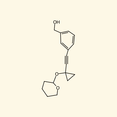 OCc1cccc(C#CC2(OC3CCCCO3)CC2)c1